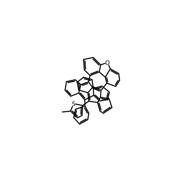 Cc1ccc(-c2c3ccccc3c(-c3cccc4oc5cccc(-c6c7ccccc7c(-c7ccccc7)c7ccccc67)c5c34)c3ccccc23)s1